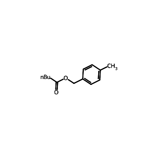 CCCCC(=O)OCc1ccc(C)cc1